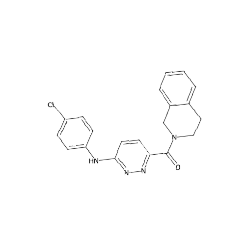 O=C(c1ccc(Nc2ccc(Cl)cc2)nn1)N1CCc2ccccc2C1